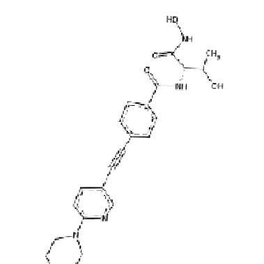 CC(O)[C@H](NC(=O)c1ccc(C#Cc2ccc(N3CCCCC3)nc2)cc1)C(=O)NO